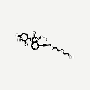 Cn1c(=O)n(C2CCC(=O)NC2=O)c2cccc(C#CCOCCOCCO)c21